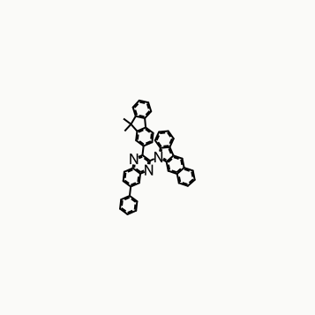 CC1(C)c2ccccc2-c2ccc(-c3nc4ccc(-c5ccccc5)cc4nc3-n3c4ccccc4c4cc5ccccc5cc43)cc21